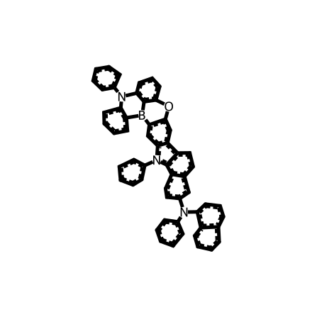 c1ccc(N2c3ccccc3B3c4cc5c(cc4Oc4cccc2c43)c2ccc3cc(N(c4ccccc4)c4cccc6ccccc46)ccc3c2n5-c2ccccc2)cc1